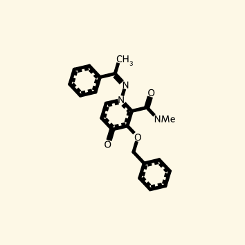 CNC(=O)c1c(OCc2ccccc2)c(=O)ccn1/N=C(/C)c1ccccc1